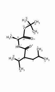 CC(C)CC(C(=O)N[C@@H](C)C(=O)OC(C)(C)C)C(C)C